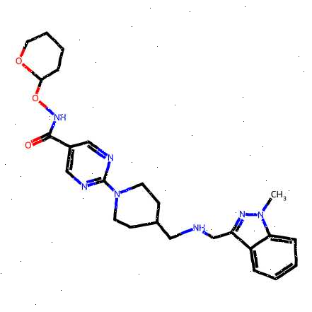 Cn1nc(CNCC2CCN(c3ncc(C(=O)NOC4CCCCO4)cn3)CC2)c2ccccc21